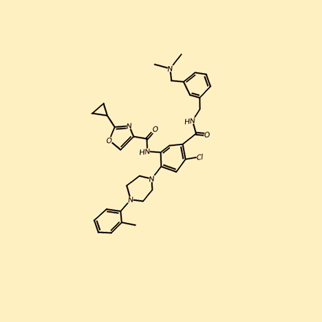 Cc1ccccc1N1CCN(c2cc(Cl)c(C(=O)NCc3cccc(CN(C)C)c3)cc2NC(=O)c2coc(C3CC3)n2)CC1